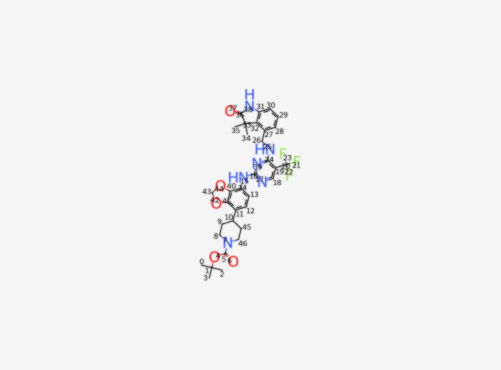 CC(C)(C)OC(=O)N1CCC(c2ccc(Nc3ncc(C(F)(F)F)c(NCc4cccc5c4C(C)(C)C(=O)N5)n3)c3c2OCO3)CC1